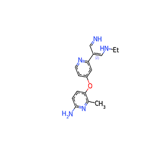 CCN/C=C(\C=N)c1cc(Oc2ccc(N)nc2C)ccn1